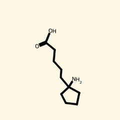 NC1(CCCCC(=O)O)CCCC1